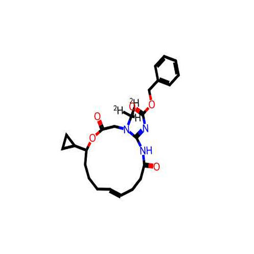 [2H]C([2H])([2H])N1CC(=O)OC(C2CC2)CCC/C=C/CCC(=O)N/C1=N/C(=O)OCc1ccccc1